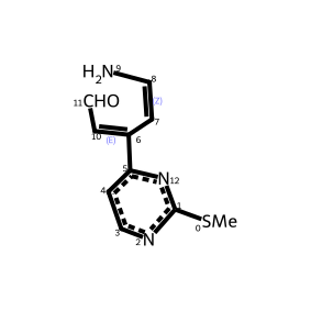 CSc1nccc(C(/C=C\N)=C/C=O)n1